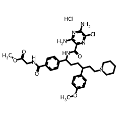 COC(=O)CNC(=O)c1ccc(C(CCC(CCN2CCCCC2)c2ccc(OC)cc2)NC(=O)c2nc(Cl)c(N)nc2N)cc1.Cl